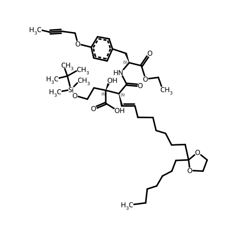 CC#CCOc1ccc(C[C@H](NC(=O)[C@@H](C=CCCCCCCC2(CCCCCCC)OCCO2)[C@@](O)(CCO[Si](C)(C)C(C)(C)C)C(=O)O)C(=O)OCC)cc1